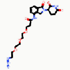 [N-]=[N+]=NCCOCCOCCOCCC(=O)Nc1cccc2c1CN(C1CCC(=O)NC1=O)C2=O